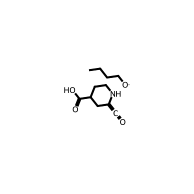 CCCC[O].O=C=C1CC(C(=O)O)CCN1